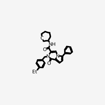 CCc1ccc(Cn2c(C(=O)NC3CCCCCC3)cn3c(-c4ccccc4)ccc3c2=O)cc1